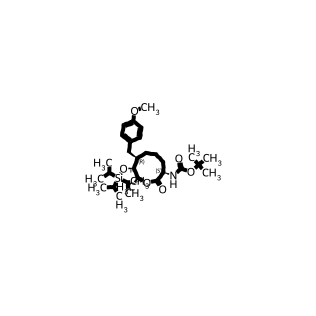 COc1ccc(C[C@H]2CCC[C@H](NC(=O)OC(C)(C)C)C(=O)O[C@@H](C)[C@@H]2O[Si](C(C)C)(C(C)C)C(C)C)cc1